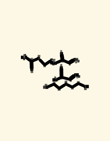 C=CC(=O)O.C=CC(=O)O.CCOC(N)=O.OCCOCCO